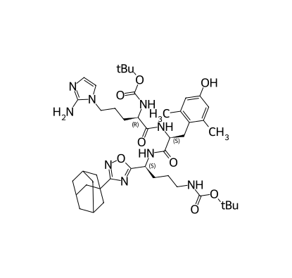 Cc1cc(O)cc(C)c1C[C@H](NC(=O)[C@@H](CCCn1ccnc1N)NC(=O)OC(C)(C)C)C(=O)N[C@@H](CCCNC(=O)OC(C)(C)C)c1nc(C23CC4CC(CC(C4)C2)C3)no1